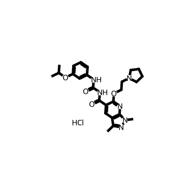 Cc1nn(C)c2nc(OCCN3CCCC3)c(C(=O)NC(=O)Nc3cccc(OC(C)C)c3)cc12.Cl